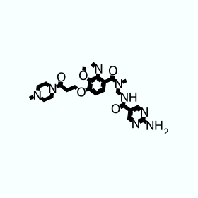 C=Nc1c(C(=O)N(C)CNC(=O)c2cnc(N)nc2)ccc(OCCC(=O)N2CCN(C)CC2)c1OC